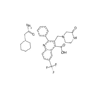 NC(=O)CC1CCCCC1.O=C1CN(Cc2c(-c3ccccc3)nc3ccc(C(F)(F)F)cc3c2C(=O)O)CCN1